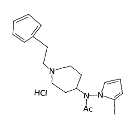 CC(=O)N(C1CCN(CCc2ccccc2)CC1)n1cccc1C.Cl